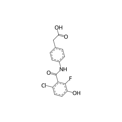 O=C(O)Cc1ccc(NC(=O)c2c(Cl)ccc(O)c2F)cc1